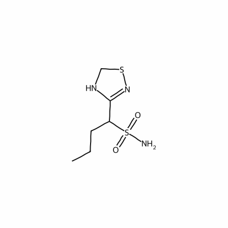 CCCC(C1=NSCN1)S(N)(=O)=O